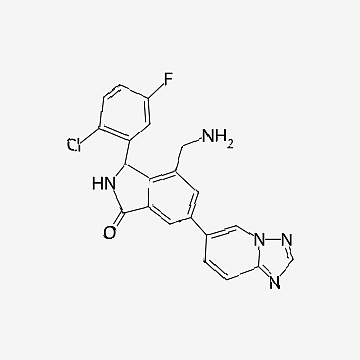 NCc1cc(-c2ccc3ncnn3c2)cc2c1C(c1cc(F)ccc1Cl)NC2=O